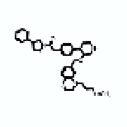 COCCCN1CCOc2ccc(COC3CNCCC3c3ccc(CC(=O)N4CCC(c5ccccc5)C4)cc3)cc21